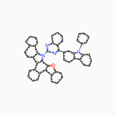 c1ccc(-n2c3ccccc3c3ccc(-c4nc(-n5c6c7ccccc7ccc6c6c7ccccc7c7c8ccccc8oc7c65)nc5ccccc45)cc32)cc1